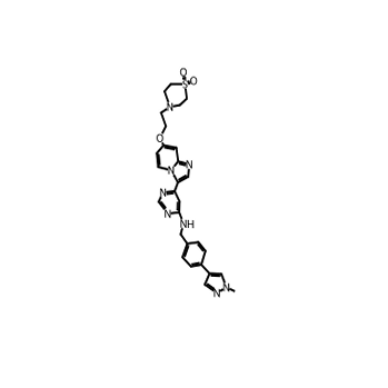 Cn1cc(-c2ccc(CNc3cc(-c4cnc5cc(OCCN6CCS(=O)(=O)CC6)ccn45)ncn3)cc2)cn1